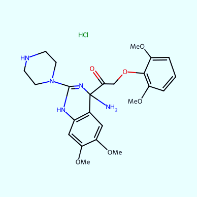 COc1cc2c(cc1OC)C(N)(C(=O)COc1c(OC)cccc1OC)N=C(N1CCNCC1)N2.Cl